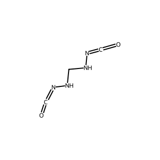 O=C=NNCNN=C=O